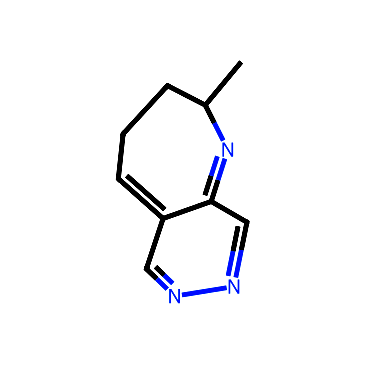 CC1CCC=c2cnncc2=N1